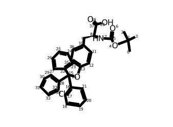 CC(C)(C)OC(=O)N[C@@H](Cc1ccc(OC(c2ccccc2)(c2ccccc2)c2ccccc2Cl)cc1)C(=O)O